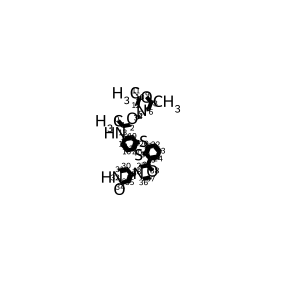 CC(COCN1C[C@@H](C)O[C@@H](C)C1)Nc1ccc2c(c1)Sc1cccc(C3CN(c4cc[nH]c(=O)c4)CCO3)c1S2